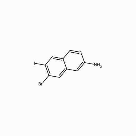 Nc1cc2cc(Br)c(I)cc2cn1